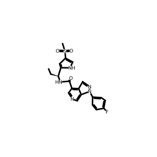 CC[C@H](NC(=O)c1cncc2c1cnn2-c1ccc(F)cc1)c1cc(S(C)(=O)=O)c[nH]1